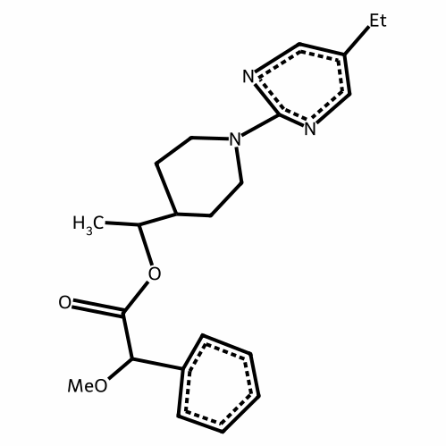 CCc1cnc(N2CCC(C(C)OC(=O)C(OC)c3ccccc3)CC2)nc1